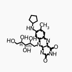 Cc1cc2nc3c(=O)[nH]c(=O)nc-3n(C[C@H](O)[C@H](O)[C@H](O)CO)c2cc1NC1CCCC1